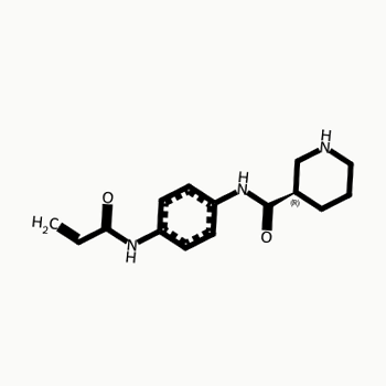 C=CC(=O)Nc1ccc(NC(=O)[C@@H]2CCCNC2)cc1